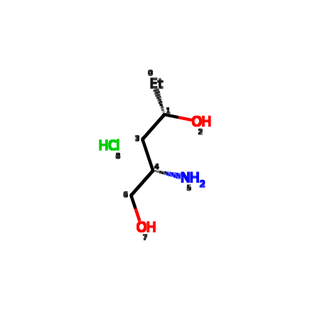 CC[C@H](O)C[C@H](N)CO.Cl